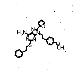 COc1ccc(CCn2c(-c3ccco3)nc3c(N)nc(SCCc4ccccc4)nc32)cc1